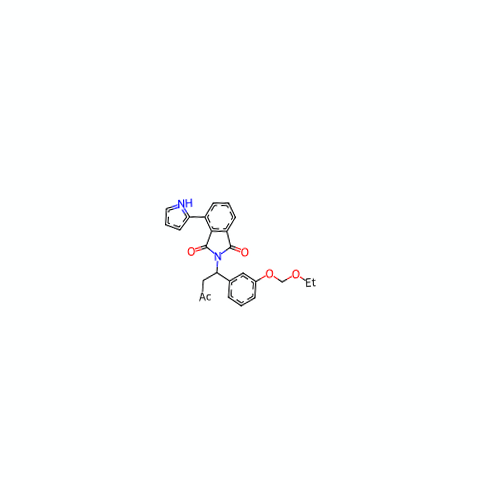 CCOCOc1cccc(C(CC(C)=O)N2C(=O)c3cccc(-c4ccc[nH]4)c3C2=O)c1